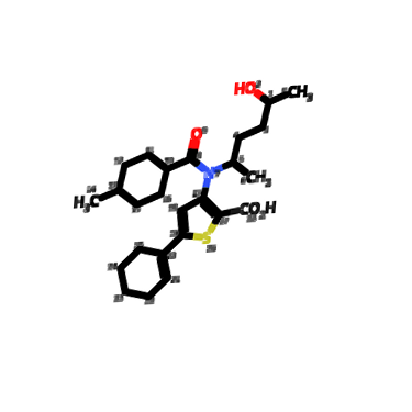 CC(O)CCC(C)N(C(=O)C1CCC(C)CC1)c1cc(C2=CCCCC2)sc1C(=O)O